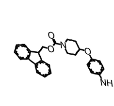 Nc1ccc(OC2CCN(C(=O)OCC3c4ccccc4-c4ccccc43)CC2)cc1